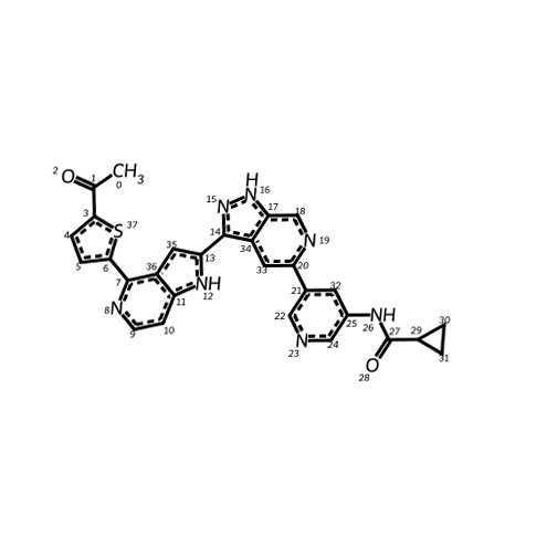 CC(=O)c1ccc(-c2nccc3[nH]c(-c4n[nH]c5cnc(-c6cncc(NC(=O)C7CC7)c6)cc45)cc23)s1